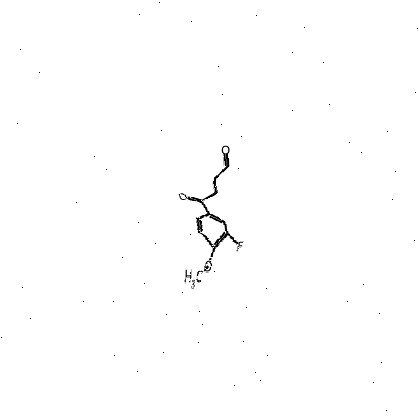 COc1ccc(C(=O)CCC=O)cc1F